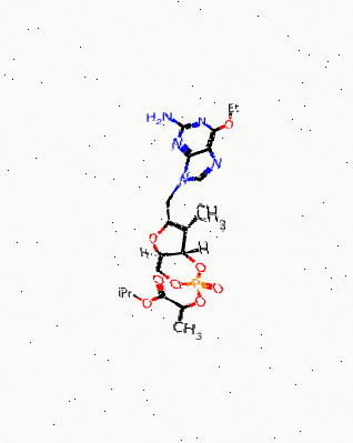 CCOc1nc(N)nc2c1ncn2C[C@@H]1O[C@@H]2CO[P@](=O)(OC(C)C(=O)OC(C)C)O[C@H]2[C@@H]1C